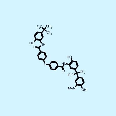 CNc1cc(C(c2ccc(O)c(NC(=O)c3ccc(Oc4ccc(C(=O)Nc5cc(C(C)(C(F)(F)F)C(F)(F)F)ccc5O)cc4)cc3)c2)(C(F)(F)F)C(F)(F)F)ccc1O